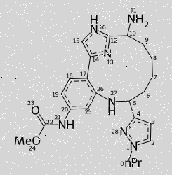 CCCn1ccc(C2CCCCC(N)c3nc(c[nH]3)-c3ccc(NC(=O)OC)cc3N2)n1